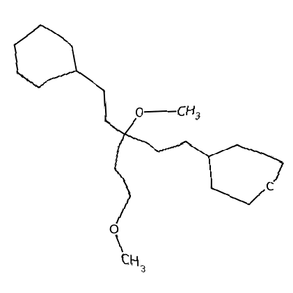 COCCC(CCC1CCCCC1)(CCC1CCCCC1)OC